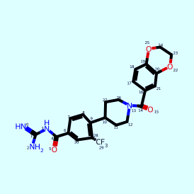 N=C(N)NC(=O)c1ccc(C2CCN(C(=O)c3ccc4c(c3)OCCO4)CC2)c(C(F)(F)F)c1